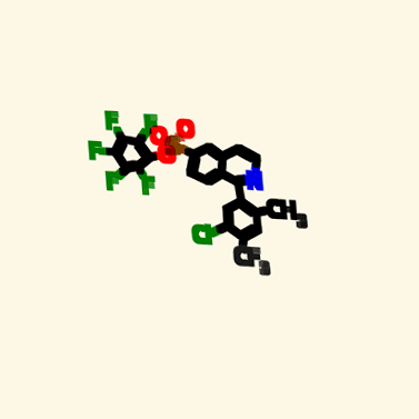 Cc1cc(C(F)(F)F)c(Cl)cc1-c1nccc2cc(S(=O)(=O)Oc3c(F)c(F)c(F)c(F)c3F)ccc12